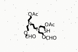 CC(=O)OCCN(CCOC=O)CCN(CCOC=O)C[C@H](S)OC(C)=O